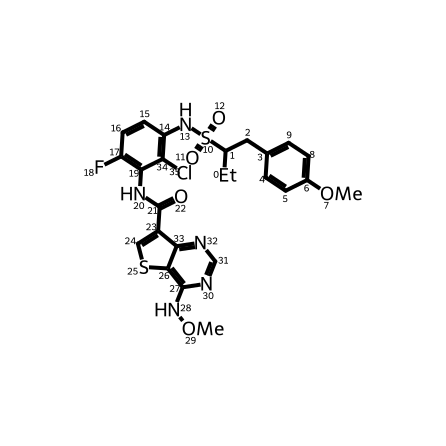 CCC(Cc1ccc(OC)cc1)S(=O)(=O)Nc1ccc(F)c(NC(=O)c2csc3c(NOC)ncnc23)c1Cl